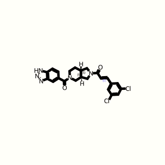 O=C(/C=C/c1cc(Cl)cc(Cl)c1)N1C[C@H]2CCN(C(=O)c3ccc4[nH]nnc4c3)C[C@@H]2C1